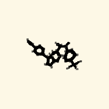 CN(C(=O)c1cn2c(-c3ccc(C#N)cc3)cnc2cn1)c1ccc(C(F)(F)F)cc1